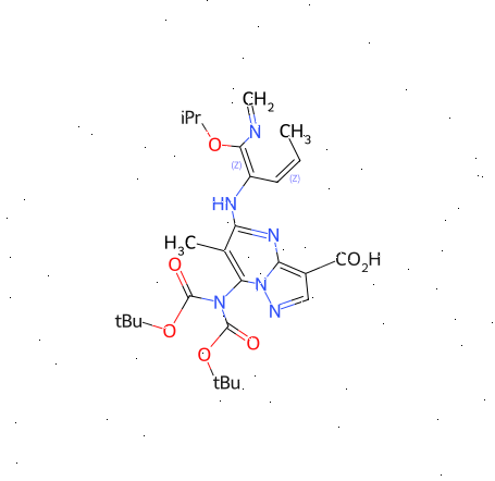 C=N/C(OC(C)C)=C(\C=C/C)Nc1nc2c(C(=O)O)cnn2c(N(C(=O)OC(C)(C)C)C(=O)OC(C)(C)C)c1C